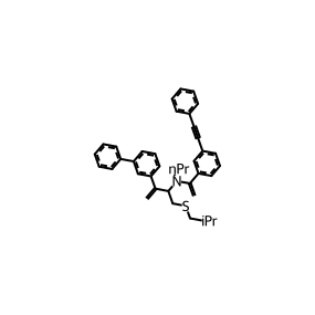 C=C(c1cccc(-c2ccccc2)c1)C(CSCC(C)C)N(CCC)C(=C)c1cccc(C#Cc2ccccc2)c1